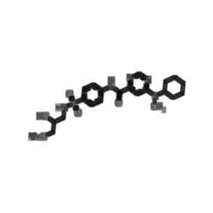 COCC(O)CNS(=O)(=O)c1ccc(NC(=O)c2cc(N(C)C3CCCCC3)ncn2)cc1